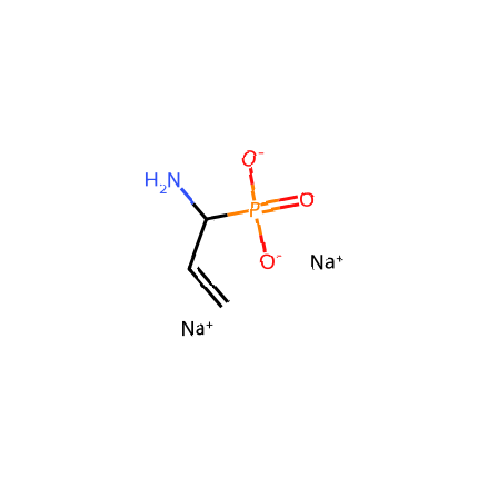 C=CC(N)P(=O)([O-])[O-].[Na+].[Na+]